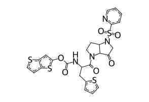 O=C(NC(Cc1cccs1)C(=O)N1CCC2C1C(=O)CN2S(=O)(=O)c1ccccn1)Oc1cc2sccc2s1